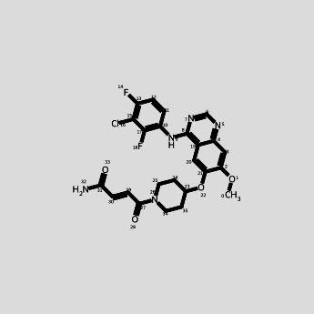 COc1cc2ncnc(Nc3ccc(F)c(Cl)c3F)c2cc1OC1CCN(C(=O)/C=C/C(N)=O)CC1